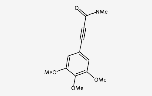 CNC(=O)C#Cc1cc(OC)c(OC)c(OC)c1